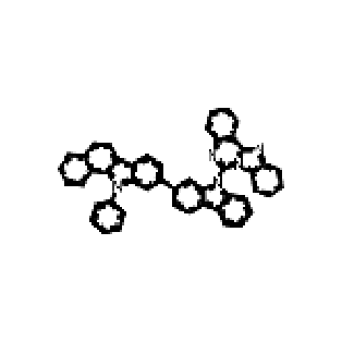 c1ccc(-n2c3cc(-c4ccc5c6ccccc6n(-c6nc7ccccc7c7nc8ccccc8n67)c5c4)ccc3c3ccc4ccccc4c32)cc1